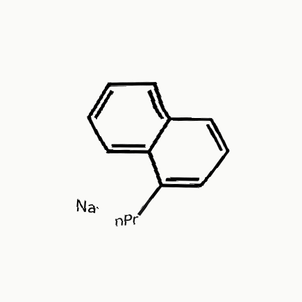 CCCc1cccc2ccccc12.[Na]